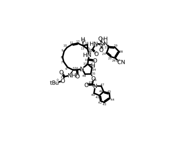 CC(C)(C)OC(=O)N[C@H]1CCCCC/C=C\[C@@H]2C[C@@]2(C(=O)NS(=O)(=O)Nc2ccc(C#N)cc2)NC(=O)[C@@H]2C[C@@H](OC(=O)N3Cc4ccccc4C3)CN2C1=O